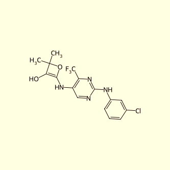 CC1(C)OC(Nc2cnc(Nc3cccc(Cl)c3)nc2C(F)(F)F)=C1O